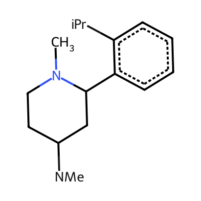 CNC1CCN(C)C(c2ccccc2C(C)C)C1